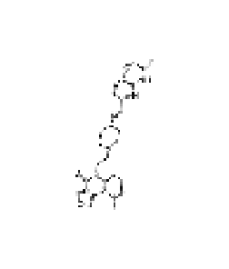 O=C1COc2ccc(CNC3CCN(CCn4c5c(c6conc6c4=O)NC=CC5)CC3)nc2N1